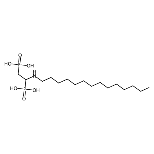 CCCCCCCCCCCCCCNC(CP(=O)(O)O)P(=O)(O)O